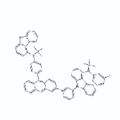 CC(C)(C)N(c1ccc(-c2c3ccccc3cc3cc(-c4cccc(-n5c6ccccc6c6c(N(c7cccc(F)c7)C(C)(C)C)cccc65)c4)ccc23)cc1)c1cccc2oc3ccccc3c12